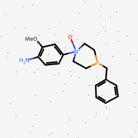 COc1cc([N+]2([O-])CCP(Cc3ccccc3)CC2)ccc1N